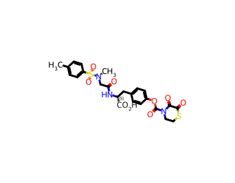 Cc1ccc(S(=O)(=O)N(C)CC(=O)N[C@@H](Cc2ccc(OC(=O)N3CCSC(=O)C3=O)cc2)C(=O)O)cc1